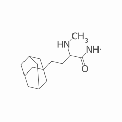 CNC(CCC12CC3CC(CC(C3)C1)C2)C([NH])=O